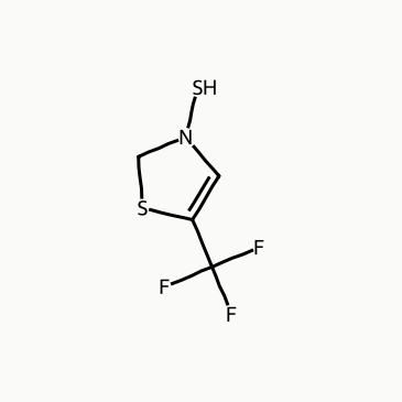 FC(F)(F)C1=CN(S)CS1